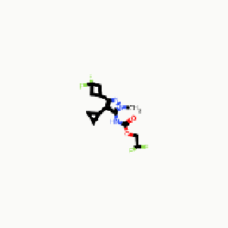 Cn1nc(C2CC(F)(F)C2)c(C2CC2)c1NC(=O)OCC(F)F